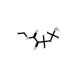 CCOC(=O)C(=O)C(C)(C)CC(C)(C)N